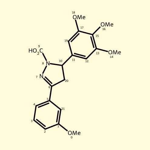 COc1cccc(C2=NN(C(=O)O)C(c3cc(OC)c(OC)c(OC)c3)C2)c1